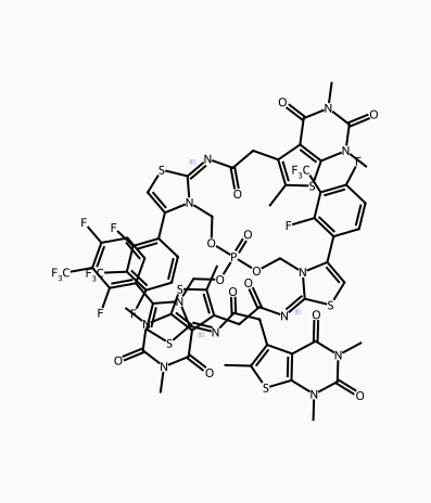 Cc1sc2c(c1CC(=O)/N=c1/scc(-c3ccc(F)c(C(F)(F)F)c3F)n1COP(=O)(OCn1c(-c3ccc(F)c(C(F)(F)F)c3F)cs/c1=N/C(=O)Cc1c(C)sc3c1c(=O)n(C)c(=O)n3C)OCn1c(-c3ccc(F)c(C(F)(F)F)c3F)cs/c1=N/C(=O)Cc1c(C)sc3c1c(=O)n(C)c(=O)n3C)c(=O)n(C)c(=O)n2C